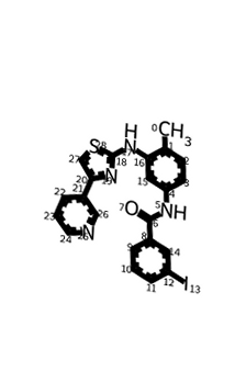 Cc1ccc(NC(=O)c2cccc(I)c2)cc1Nc1nc(-c2cccnc2)cs1